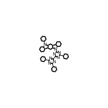 c1ccc(-c2nc(-c3ccccc3)nc(-c3nc(-c4ccccc4)nc(-n4c5ccccc5c5cc6c(cc54)c4ccccc4n6-c4ccccc4)n3)n2)cc1